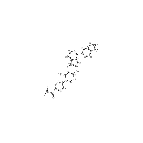 CN(C)C(=O)c1ccc([C@@H]2CCN(Cc3cc4c(-c5ccc6[nH]ncc6c5)ccnc4n3C)C[C@H]2F)cc1